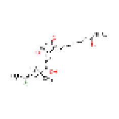 CC(=O)NC(=O)CCCC=CC[C@H]1C(=O)C[C@@H](O)[C@@H]1C=C[C@H](O)C(C)(C)CC=C(C)Cl